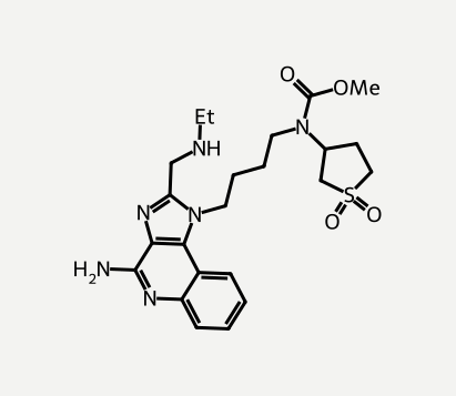 CCNCc1nc2c(N)nc3ccccc3c2n1CCCCN(C(=O)OC)C1CCS(=O)(=O)C1